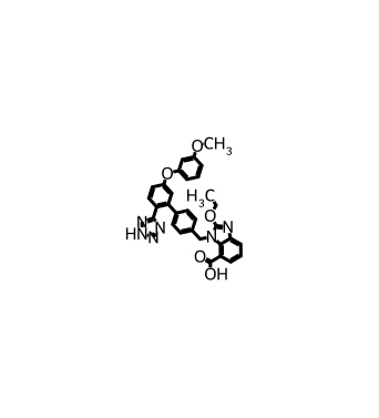 CCOc1nc2cccc(C(=O)O)c2n1Cc1ccc(-c2cc(Oc3cccc(OC)c3)ccc2-c2nn[nH]n2)cc1